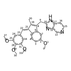 COc1ccc2c(c1)C(Cc1nc3cnccc3[nH]1)=C(C)/C2=C/c1cc(OC)c(OC)c(OC)c1